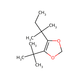 CCC(C)(C)C1=C(C(C)(C)C)OCO1